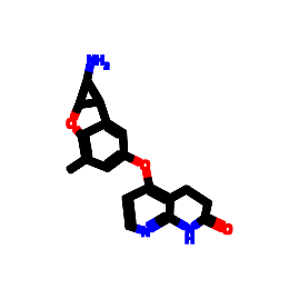 Cc1cc(Oc2ccnc3c2CCC(=O)N3)cc2c1OC1C(N)C21